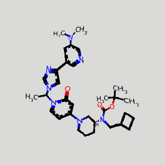 CC(n1cnc(-c2cncc(N(C)C)c2)c1)n1ccc(N2CCC[C@@H](N(CC3CCC3)C(=O)OC(C)(C)C)C2)cc1=O